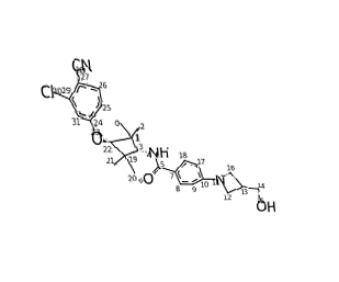 CC1(C)[C@H](NC(=O)c2ccc(N3CC(CO)C3)cc2)C(C)(C)[C@H]1Oc1ccc(C#N)c(Cl)c1